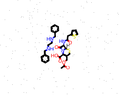 CC(=O)OCC1=C(C(=O)O)N2C(=O)[C@@H](NC(=O)Cc3cccs3)[C@H]2SC1.c1ccc(CNCCNCc2ccccc2)cc1